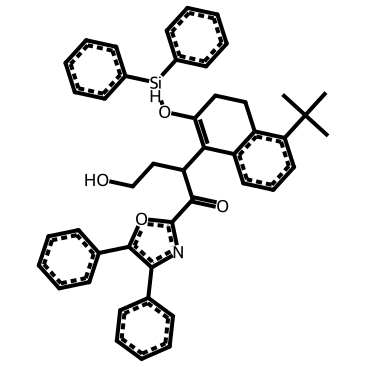 CC(C)(C)c1cccc2c1CCC(O[SiH](c1ccccc1)c1ccccc1)=C2C(CCO)C(=O)c1nc(-c2ccccc2)c(-c2ccccc2)o1